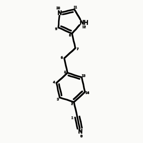 N#Cc1ccc(CCc2cnc[nH]2)cc1